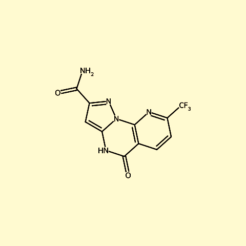 NC(=O)c1cc2[nH]c(=O)c3ccc(C(F)(F)F)nc3n2n1